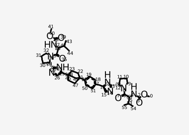 COC(=O)N[C@H](C(=O)N1CCC[C@H]1c1ncc(-c2ccc(C34CCC(c5cnc([C@@H]6CCCN6C(=O)[C@@H](NC(=O)OC)C(C)C)[nH]5)(CC3)CC4)cc2)[nH]1)C(C)C